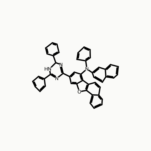 c1ccc(C2=NC(c3cc(N(c4ccccc4)c4ccc5ccccc5c4)c4c(c3)oc3c5ccccc5ccc34)=NC(c3ccccc3)N2)cc1